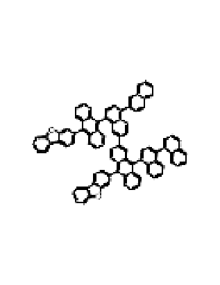 c1ccc2cc(-c3ccc(-c4c5ccccc5c(-c5ccc6c(c5)oc5ccccc56)c5ccccc45)c4cc(-c5ccc6c(-c7ccc8c(c7)oc7ccccc78)c7ccccc7c(-c7ccc(-c8cccc9ccccc89)c8ccccc78)c6c5)ccc34)ccc2c1